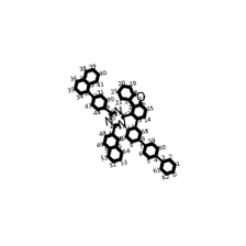 c1ccc(-c2ccc(-c3cccc(-c4ccc5oc6ccccc6c5c4-c4nc(-c5ccc(-c6cccc7ccccc67)cc5)nc(-c5ccc6ccccc6c5)n4)c3)cc2)cc1